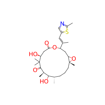 C/C(=C\c1cnc(C)s1)C1CC2O[C@]2(C)CCC[C@H](C)C(O)[C@@H](C)C(=O)C(C)(C)[C@@H](O)CC(=O)O1